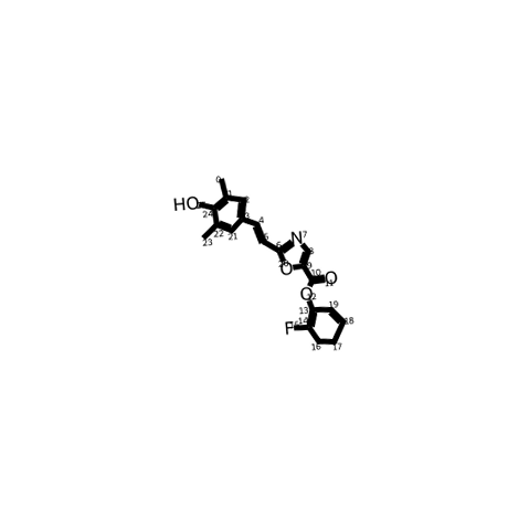 Cc1cc(/C=C/c2ncc(C(=O)OC3=C(F)CCC=C3)o2)cc(C)c1O